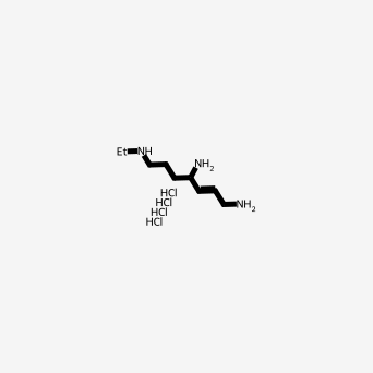 CCNCCCC(N)C=CCN.Cl.Cl.Cl.Cl